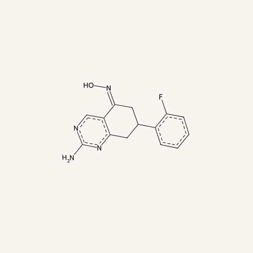 Nc1ncc2c(n1)CC(c1ccccc1F)C/C2=N/O